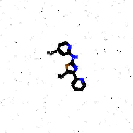 Cc1ccnc(Nc2nc(-c3ccccn3)c(C)s2)c1